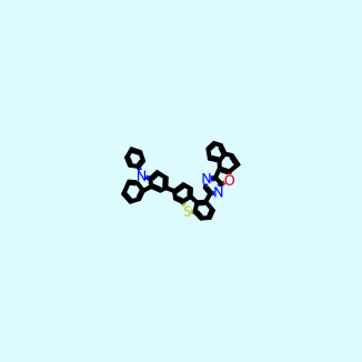 c1ccc(-n2c3ccccc3c3cc(-c4ccc5c(c4)sc4cccc(-c6cnc7c(n6)oc6ccc8ccccc8c67)c45)ccc32)cc1